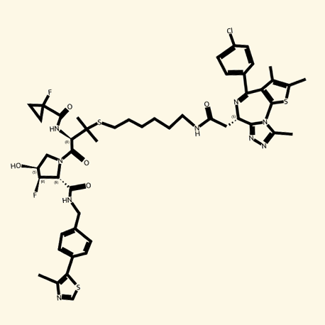 Cc1ncsc1-c1ccc(CNC(=O)[C@@H]2[C@@H](F)[C@@H](O)CN2C(=O)[C@@H](NC(=O)C2(F)CC2)C(C)(C)SCCCCCCNC(=O)C[C@@H]2N=C(c3ccc(Cl)cc3)c3c(sc(C)c3C)-n3c(C)nnc32)cc1